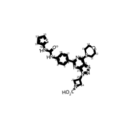 O=C(Nc1ccc(-c2nc(N3CCOCC3)c3nnn(C4CN(C(=O)O)C4)c3n2)cc1)Nc1cccs1